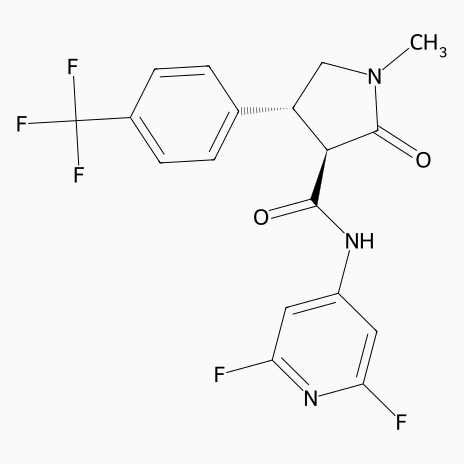 CN1C[C@@H](c2ccc(C(F)(F)F)cc2)[C@H](C(=O)Nc2cc(F)nc(F)c2)C1=O